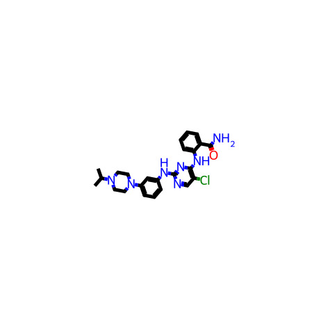 CC(C)N1CCN(c2cccc(Nc3ncc(Cl)c(Nc4ccccc4C(N)=O)n3)c2)CC1